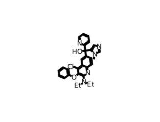 CCN(CC)c1nc2ccc(C(O)(c3ccccn3)c3cncn3C)cc2c(Cl)c1Oc1ccccc1